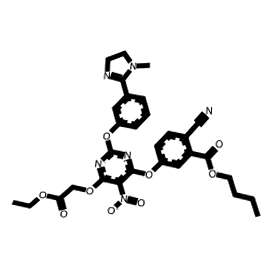 CCCCOC(=O)c1cc(Oc2nc(Oc3cccc(C4=NCCN4C)c3)nc(OCC(=O)OCC)c2[N+](=O)[O-])ccc1C#N